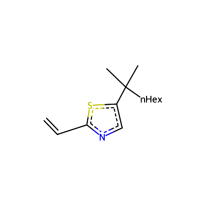 C=Cc1ncc(C(C)(C)CCCCCC)s1